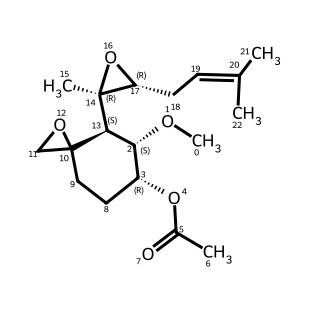 CO[C@@H]1[C@H](OC(C)=O)CCC2(CO2)[C@H]1[C@@]1(C)O[C@@H]1CC=C(C)C